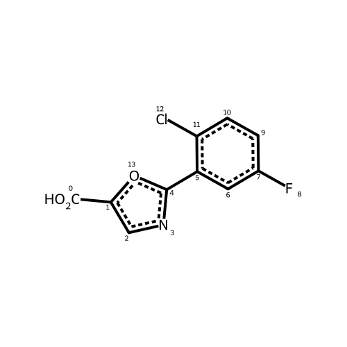 O=C(O)c1cnc(-c2cc(F)ccc2Cl)o1